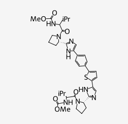 COC(=O)NC(C(=O)N1CCC[C@H]1c1ncc(-c2ccc(-c3ccc(-c4cnc([C@@H]5CCCN5C(=O)[C@@H](NC(=O)OC)C(C)C)[nH]4)s3)cc2)[nH]1)C(C)C